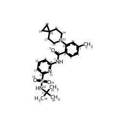 Cc1ccc(C(=O)Nc2cccc(S(=O)(=O)NC(C)(C)C)n2)c(N2CCC3(CC2)CC3)c1